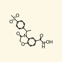 CC(c1ccc(S(C)(=O)=O)cc1)N1C(=O)COc2ccc(C(=O)NO)cc21